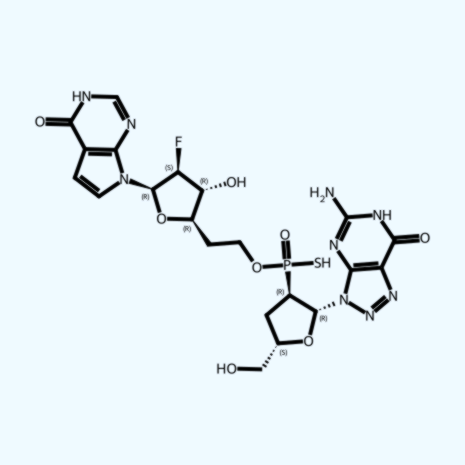 Nc1nc2c(nnn2[C@@H]2O[C@H](CO)C[C@H]2P(=O)(S)OCC[C@H]2O[C@@H](n3ccc4c(=O)[nH]cnc43)[C@@H](F)[C@@H]2O)c(=O)[nH]1